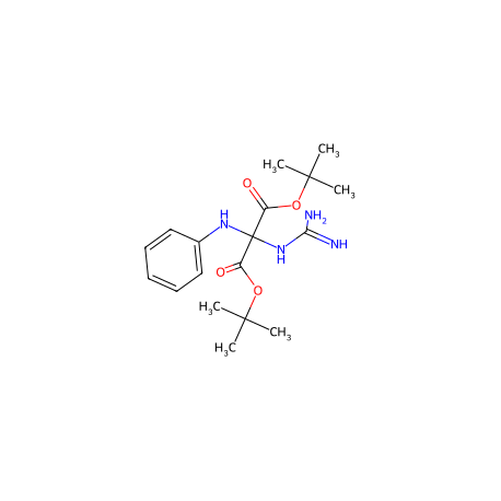 CC(C)(C)OC(=O)C(NC(=N)N)(Nc1ccccc1)C(=O)OC(C)(C)C